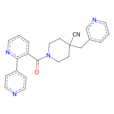 N#CC1(Cc2cccnc2)CCN(C(=O)c2cccnc2-c2ccncc2)CC1